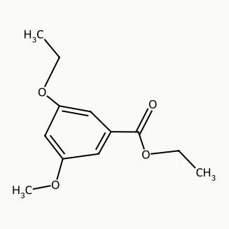 CCOC(=O)c1cc(OC)cc(OCC)c1